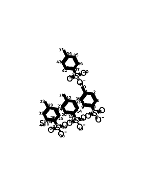 Cc1ccc(S(=O)(=O)[O-])cc1.Cc1ccc(S(=O)(=O)[O-])cc1.Cc1ccc(S(=O)(=O)[O-])cc1.Cc1ccc(S(=O)(=O)[O-])cc1.[Sn+4]